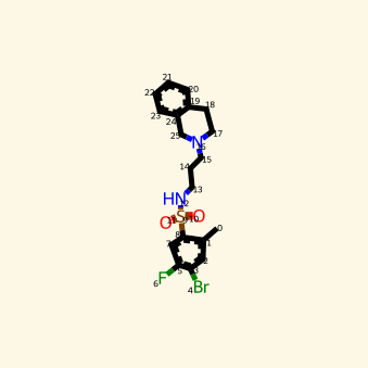 Cc1cc(Br)c(F)cc1S(=O)(=O)NCCCN1CCc2ccccc2C1